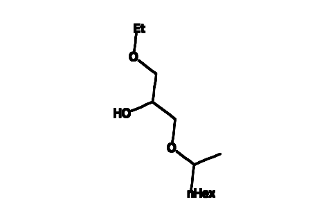 CCCCCCC(C)OCC(O)COCC